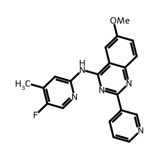 COc1ccc2nc(-c3cccnc3)nc(Nc3cc(C)c(F)cn3)c2c1